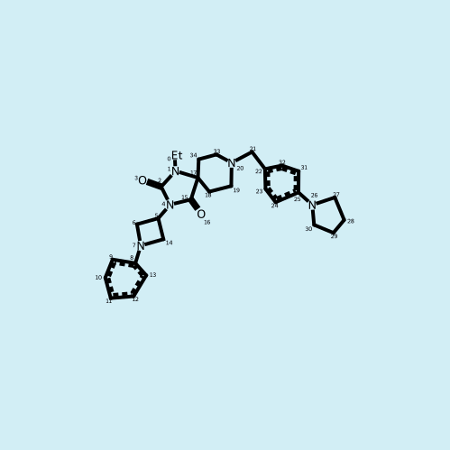 CCN1C(=O)N(C2CN(c3ccccc3)C2)C(=O)C12CCN(Cc1ccc(N3CCCC3)cc1)CC2